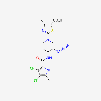 Cc1nc(N2CCC(NC(=O)c3[nH]c(C)c(Cl)c3Cl)C(N=[N+]=[N-])C2)sc1C(=O)O